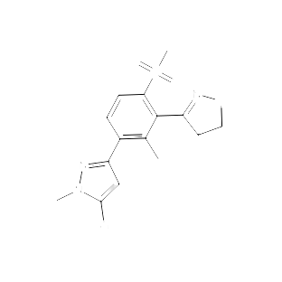 Cc1c(-c2[c]c(O)n(C)n2)ccc(S(C)(=O)=O)c1C1=NOCC1